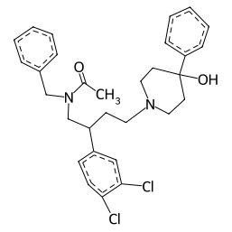 CC(=O)N(Cc1ccccc1)CC(CCN1CCC(O)(c2ccccc2)CC1)c1ccc(Cl)c(Cl)c1